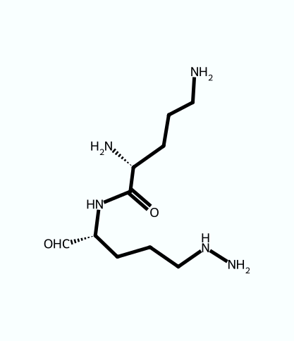 NCCC[C@@H](N)C(=O)N[C@@H](C=O)CCCNN